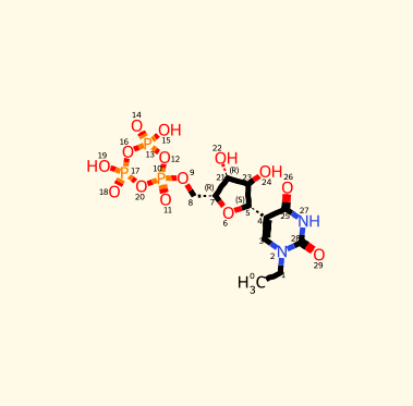 CCn1cc([C@@H]2O[C@H](COP3(=O)OP(=O)(O)OP(=O)(O)O3)[C@H](O)C2O)c(=O)[nH]c1=O